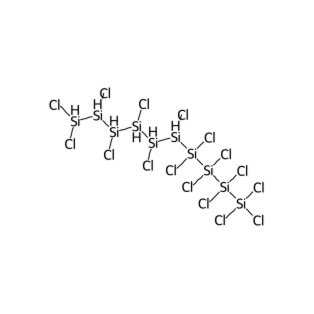 Cl[SiH](Cl)[SiH](Cl)[SiH](Cl)[SiH](Cl)[SiH](Cl)[SiH](Cl)[Si](Cl)(Cl)[Si](Cl)(Cl)[Si](Cl)(Cl)[Si](Cl)(Cl)Cl